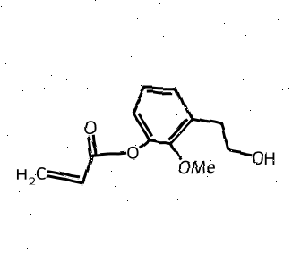 C=CC(=O)Oc1cccc(CCO)c1OC